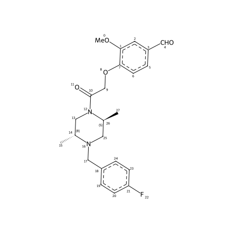 COc1cc(C=O)ccc1OCC(=O)N1C[C@@H](C)N(Cc2ccc(F)cc2)C[C@@H]1C